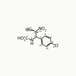 CC(C)(C)[C@H](C(NC(=O)O)c1ccc(Cl)cc1)[N+](=O)[O-]